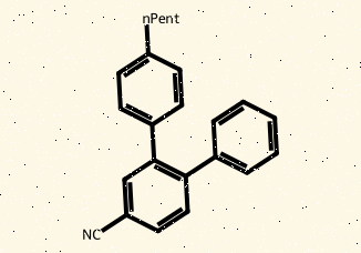 CCCCCc1ccc(-c2cc(C#N)ccc2-c2ccccc2)cc1